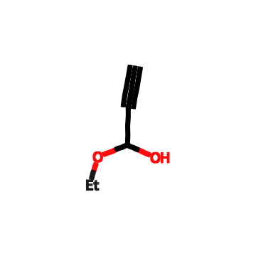 C#CC(O)OCC